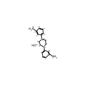 Cl.Nc1cccc(N2CCN(c3cccc(N)c3)CC2)c1